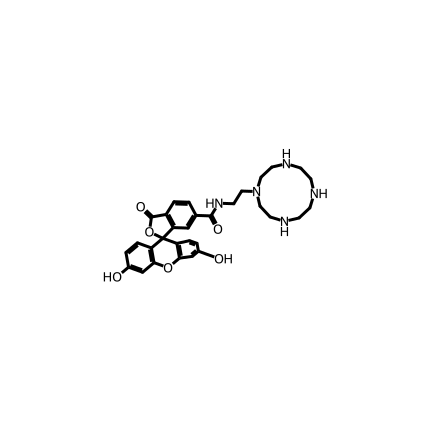 O=C(NCCN1CCNCCNCCNCC1)c1ccc2c(c1)C1(OC2=O)c2ccc(O)cc2Oc2cc(O)ccc21